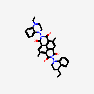 CCC1CCN(N2C(=O)c3cc(C)c4c5c(cc(C)c(c35)C2=O)C(=O)N(N2CCN(CC)c3ccccc32)C4=O)c2ccccc21